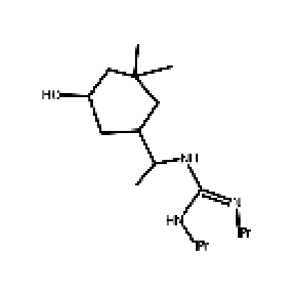 CC(C)N=C(NC(C)C)NC(C)C1CC(O)CC(C)(C)C1